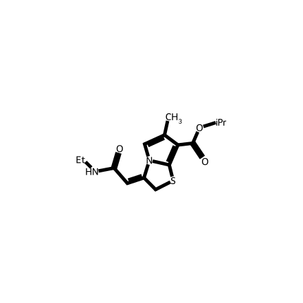 CCNC(=O)C=C1CSc2c(C(=O)OC(C)C)c(C)cn21